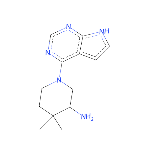 CC1(C)CCN(c2ncnc3[nH]ccc23)CC1N